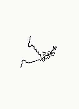 CC/C=C\CC1C(CC(=O)OC(CCCCCCCC/C=C\C/C=C\CCCCC)CCCCCCCC/C=C\C/C=C\CCCCC)CCC1OC(=O)CCN(C)C